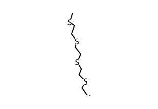 [CH2]CSCCSCCSCCSC